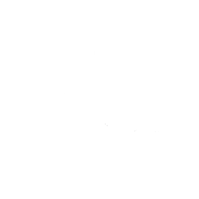 O=C[C@@H]1CCCN(C2CC(Sc3cc(F)ccc3F)C2)C1